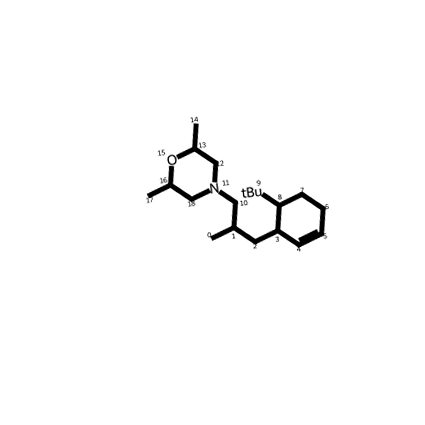 CC(CC1C=CCCC1C(C)(C)C)CN1CC(C)OC(C)C1